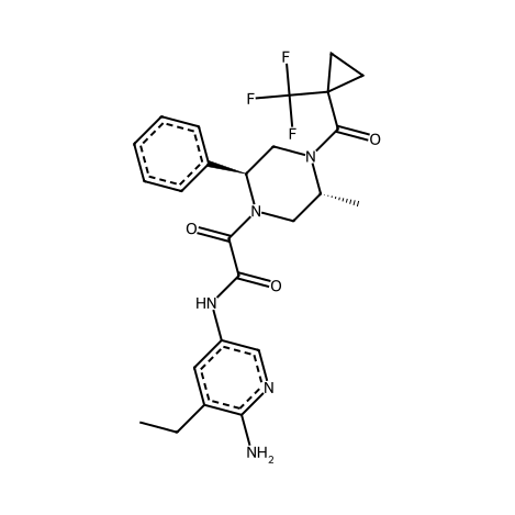 CCc1cc(NC(=O)C(=O)N2C[C@@H](C)N(C(=O)C3(C(F)(F)F)CC3)C[C@@H]2c2ccccc2)cnc1N